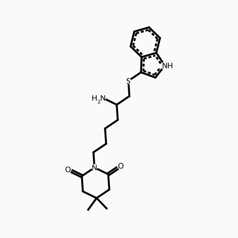 CC1(C)CC(=O)N(CCCCC(N)CSc2c[nH]c3ccccc23)C(=O)C1